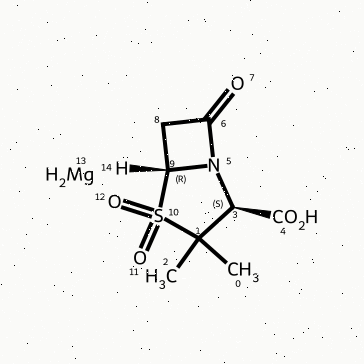 CC1(C)[C@H](C(=O)O)N2C(=O)C[C@H]2S1(=O)=O.[MgH2]